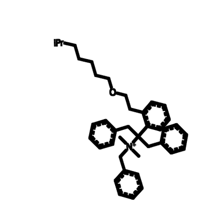 CC(C)CCCCCOCCc1ccccc1C(Cc1ccccc1)(Cc1ccccc1)[N+](C)(C)Cc1ccccc1